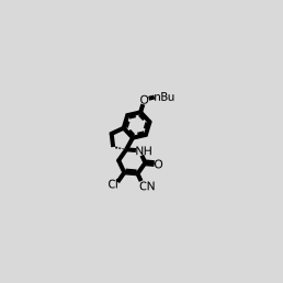 CCCCOc1ccc2c(c1)CC[C@]21CC(Cl)=C(C#N)C(=O)N1